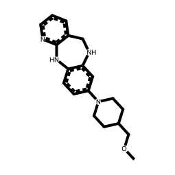 COCC1CCN(c2ccc3c(c2)NCc2cccnc2N3)CC1